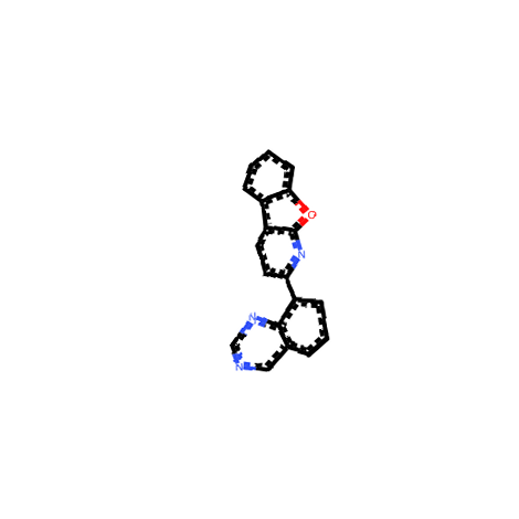 c1cc(-c2ccc3c(n2)oc2ccccc23)c2ncncc2c1